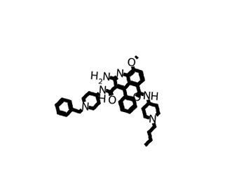 CCCCN1CCC(NC(=O)c2ccc(OC)c3nc(N)c(C(=O)NC4CCN(Cc5ccccc5)CC4)c(-c4ccccc4)c23)CC1